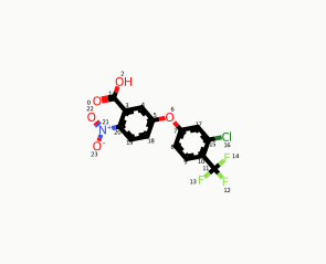 O=C(O)c1cc(Oc2ccc(C(F)(F)F)c(Cl)c2)ccc1[N+](=O)[O-]